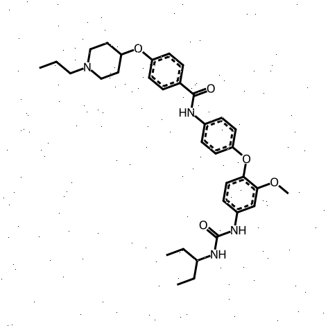 CCCN1CCC(Oc2ccc(C(=O)Nc3ccc(Oc4ccc(NC(=O)NC(CC)CC)cc4OC)cc3)cc2)CC1